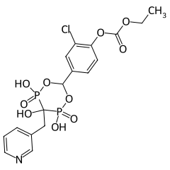 CCOC(=O)Oc1ccc(C2OP(=O)(O)C(O)(Cc3cccnc3)P(=O)(O)O2)cc1Cl